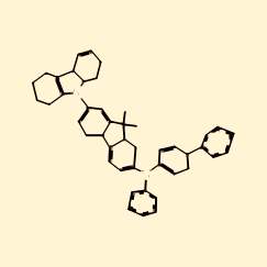 CC1(C)C2=CC(N3C4=C(CCCC4)C4C=CCCC43)=CCC2C2=CC=C(N(C3=CCC(c4ccccc4)C=C3)c3ccccc3)CC21